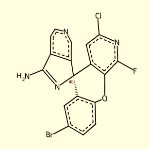 NC1=N[C@@]2(c3cc(Br)ccc3Oc3c2cc(Cl)nc3F)c2cnccc21